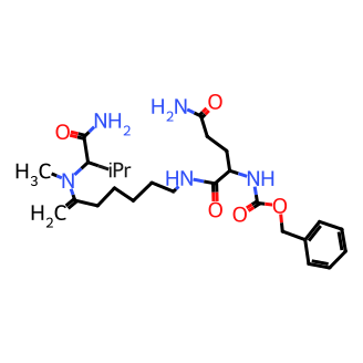 C=C(CCCCCNC(=O)C(CCC(N)=O)NC(=O)OCc1ccccc1)N(C)C(C(N)=O)C(C)C